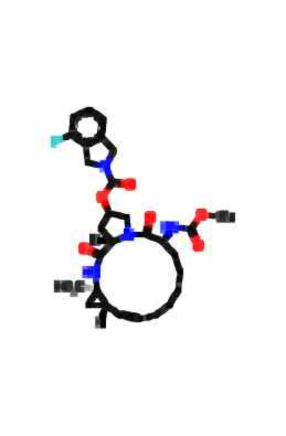 CC(C)(C)OC(=O)N[C@H]1CCCCC/C=C\[C@@H]2C[C@@]2(C(=O)O)NC(=O)[C@@H]2C[C@@H](OC(=O)N3Cc4cccc(F)c4C3)CN2C1=O